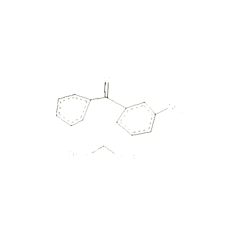 CCOC(=O)CC(=O)OCC.O=C(c1ccccc1)c1cccc([N+](=O)[O-])c1